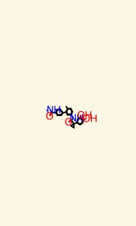 CNC(=O)c1ccc(-c2cc(NC(=O)C3(c4ccc(O)c(O)c4)CC3)ccc2C)cc1